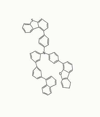 C1=Cc2oc3c(-c4ccc(N(c5ccc(-c6cccc7sc8ccccc8c67)cc5)c5cccc(-c6cccc(-c7cccc8ccccc78)c6)c5)cc4)cccc3c2CC1